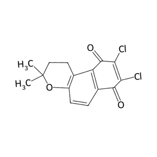 CC1(C)CCc2c(ccc3c2C(=O)C(Cl)=C(Cl)C3=O)O1